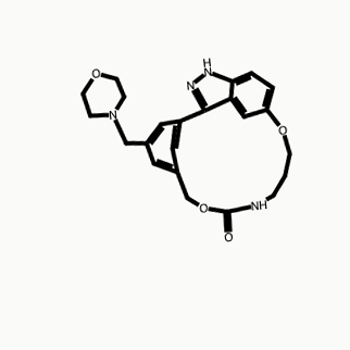 O=C1NCCCOc2ccc3[nH]nc(c3c2)-c2cc(cc(CN3CCOCC3)c2)CO1